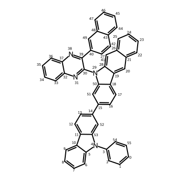 c1ccc(-n2c3ccccc3c3ccc(-c4ccc5c6cc7ccccc7cc6n(-c6nc7ccccc7nc6-c6ccc7ccccc7c6)c5c4)cc32)cc1